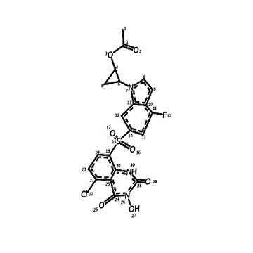 CC(=O)OC1CC1n1ccc2c(F)cc(S(=O)(=O)c3ccc(Cl)c4c(=O)n(O)c(=O)[nH]c34)cc21